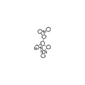 c1ccc(-n2c3ccccc3c3cc(-c4cc5c6c(c4)c4ccncc4n6-c4nc6ccccc6nc4-c4ccccc4-5)ccc32)cc1